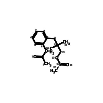 CC(=O)Oc1ccccc1CC(C)(C)CO[S@@](C)=O